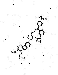 CNC(=O)C(CCC=O)N1Cc2ccc(N3CCC(CCCN(c4ccc(C5(C#N)CC5)cc4)c4cc(-c5c(C)noc5C)ccc4C)CC3)cc2C1=O